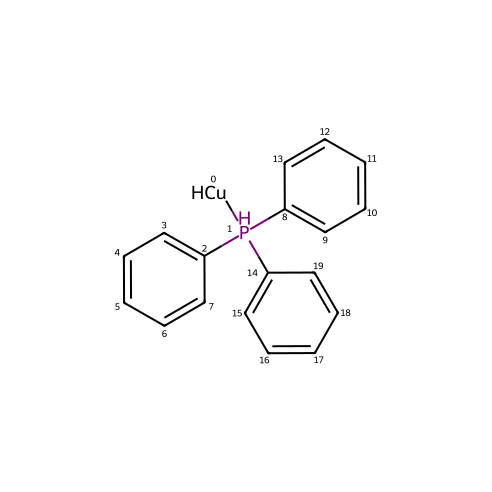 [CuH][PH](c1ccccc1)(c1ccccc1)c1ccccc1